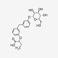 CCC(Oc1cccc(Cc2cccc(O[C@H]3O[C@H](CO)[C@@H](O)[C@H](O)[C@@H]3O)c2)c1)C(=O)O